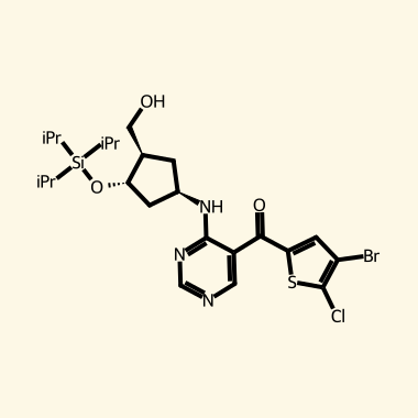 CC(C)[Si](O[C@H]1C[C@H](Nc2ncncc2C(=O)c2cc(Br)c(Cl)s2)C[C@@H]1CO)(C(C)C)C(C)C